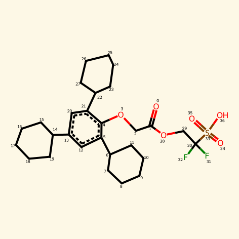 O=C(COc1c(C2CCCCC2)cc(C2CCCCC2)cc1C1CCCCC1)OCC(F)(F)S(=O)(=O)O